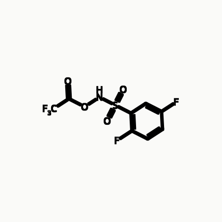 O=C(ONS(=O)(=O)c1cc(F)ccc1F)C(F)(F)F